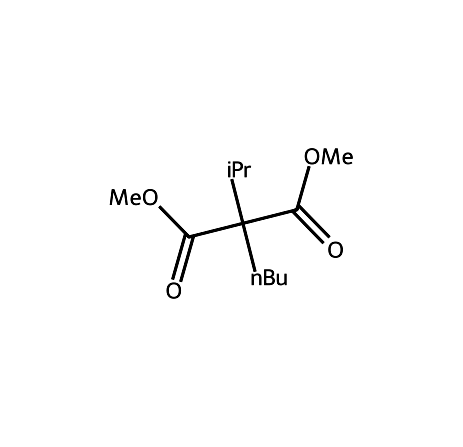 CCCCC(C(=O)OC)(C(=O)OC)C(C)C